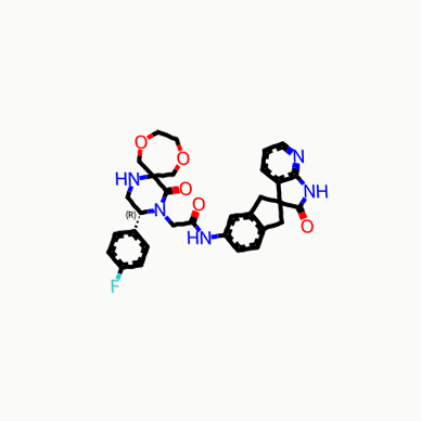 O=C(CN1C(=O)C2(COCCOC2)NC[C@H]1c1ccc(F)cc1)Nc1ccc2c(c1)CC1(C2)C(=O)Nc2ncccc21